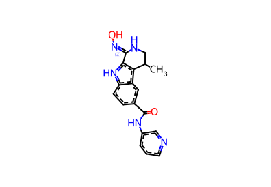 CC1CN/C(=N\O)c2[nH]c3ccc(C(=O)Nc4cccnc4)cc3c21